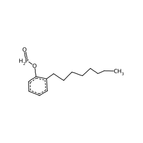 CCCCCCCCc1ccccc1O[PH2]=O